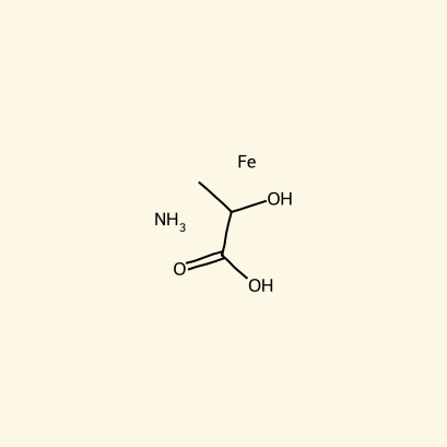 CC(O)C(=O)O.N.[Fe]